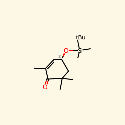 CC1=C[C@@H](O[Si](C)(C)C(C)(C)C)CC(C)(C)C1=O